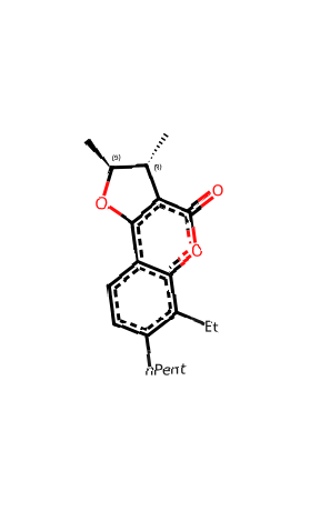 CCCCCc1ccc2c3c(c(=O)oc2c1CC)[C@@H](C)[C@H](C)O3